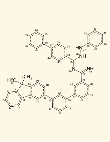 CC1(C)c2ccccc2-c2cc(-c3cccc(-c4cccc(C(=N)/N=C(\NNc5ccccc5)c5ccc(-c6ccccc6)cc5)c4)c3)ccc21